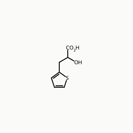 O=C(O)C(O)Cc1cccs1